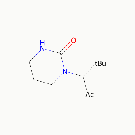 CC(=O)C(N1CCCNC1=O)C(C)(C)C